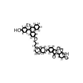 CC/C(=C(\c1ccc(O)cc1)c1ccc(OCCCN2CCOC3(CCN(c4ccc5c(c4)C(=O)N(C4CCC(=O)NC4=O)C5=O)CC3)C2)cc1)c1ccccc1